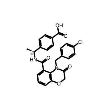 C[C@H](NC(=O)c1cccc2c1N(Cc1ccc(Cl)cc1)C(=O)CO2)c1ccc(C(=O)O)cc1